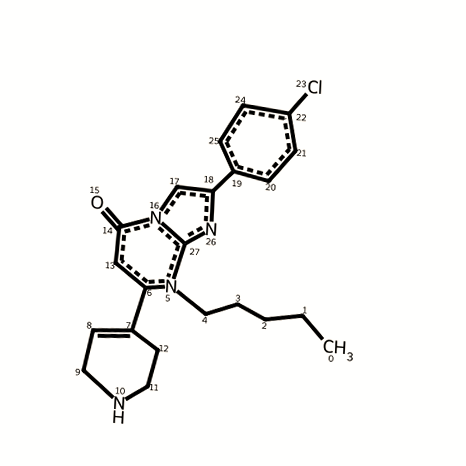 CCCCCn1c(C2=CCNCC2)cc(=O)n2cc(-c3ccc(Cl)cc3)nc12